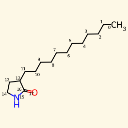 CCCCCCCCCCCCC1CCNC1=O